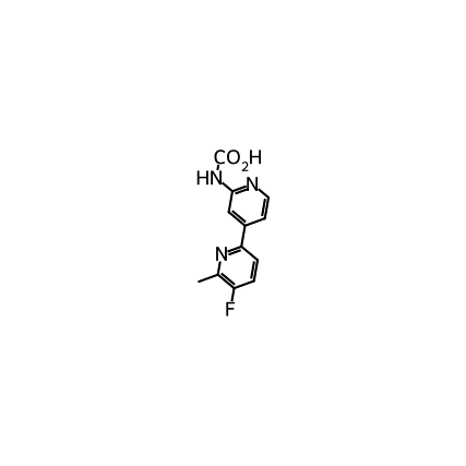 Cc1nc(-c2ccnc(NC(=O)O)c2)ccc1F